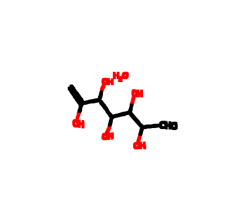 C=C(O)C(O)C(O)C(O)C(O)C=O.O